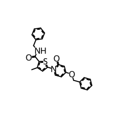 Cc1cc(-n2ccc(OCc3ccccc3)cc2=O)sc1C(=O)NCc1ccccc1